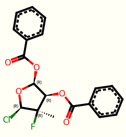 C[C@@]1(F)[C@H](OC(=O)c2ccccc2)[C@H](OC(=O)c2ccccc2)O[C@@H]1Cl